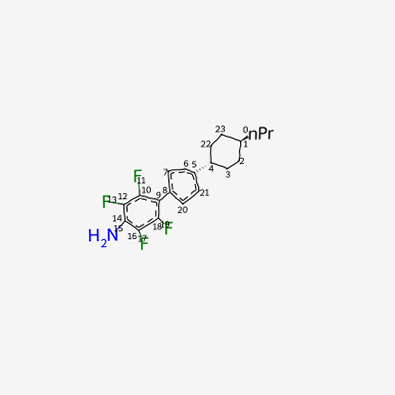 CCC[C@H]1CC[C@H](c2ccc(-c3c(F)c(F)c(N)c(F)c3F)cc2)CC1